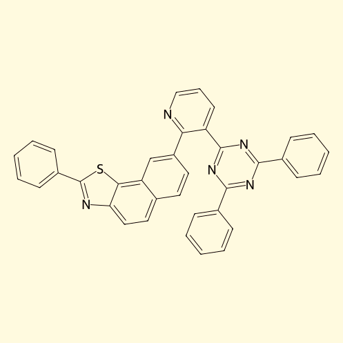 c1ccc(-c2nc(-c3ccccc3)nc(-c3cccnc3-c3ccc4ccc5nc(-c6ccccc6)sc5c4c3)n2)cc1